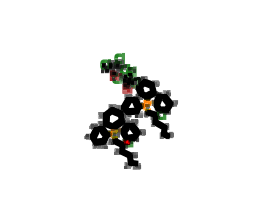 CCCCC(Cl)C[P+](c1ccccc1)(c1ccccc1)c1ccccc1.CCCCC(Cl)C[P+](c1ccccc1)(c1ccccc1)c1ccccc1.[Cl][Mn-]([Cl])([Cl])[Br].[Cl][Mn-]([Cl])([Cl])[Br]